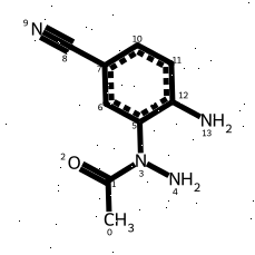 CC(=O)N(N)c1cc(C#N)ccc1N